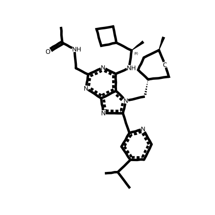 CC(=O)NCc1nc(N[C@H](C)C2CCC2)c2c(n1)nc(-c1cc(C(C)C)ccn1)n2C[C@H]1CC[C@H](C)CC1